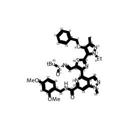 CCn1nc(C)c(OCc2ccccc2)c1-c1nc(-c2nc(C(=O)NCc3ccc(OC)cc3OC)cc3c2cnn3C)c(C=N[S+]([O-])C(C)(C)C)s1